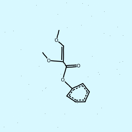 COC=C(OC)C(=O)Oc1ccccc1